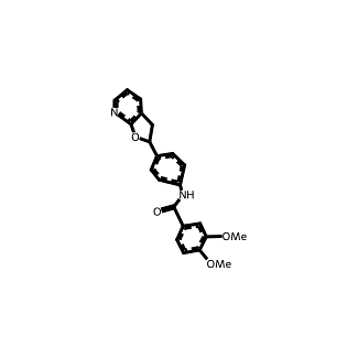 COc1ccc(C(=O)Nc2ccc(C3Cc4cccnc4O3)cc2)cc1OC